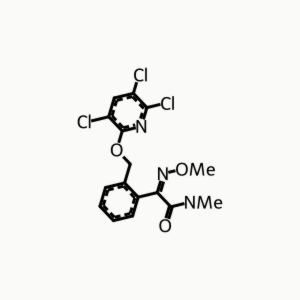 CNC(=O)C(=NOC)c1ccccc1COc1nc(Cl)c(Cl)cc1Cl